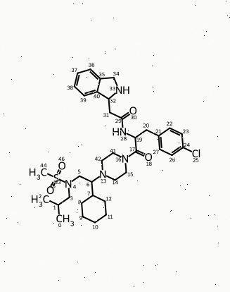 CC(C)CN(CC(C1CCCCC1)N1CCN(C(=O)C(Cc2ccc(Cl)cc2)NC(=O)CC2NCc3ccccc32)CC1)S(C)(=O)=O